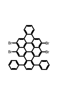 Brc1cc2c3ccccc3c3cc(Br)c4c(Br)cc5c6c(-c7ccccc7)ccc(-c7ccccc7)c6c6cc(Br)c1c1c2c3c4c5c61